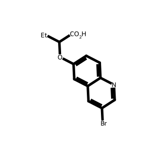 CCC(Oc1ccc2ncc(Br)cc2c1)C(=O)O